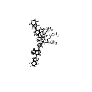 CCCCC(CC)CC1(CC(CC)CCCC)c2cc(-c3ncc(-c4cc5ccccc5o4)c4nsnc34)sc2-c2sc(-c3ncc(-c4cc5ccccc5o4)c4nsnc34)cc21